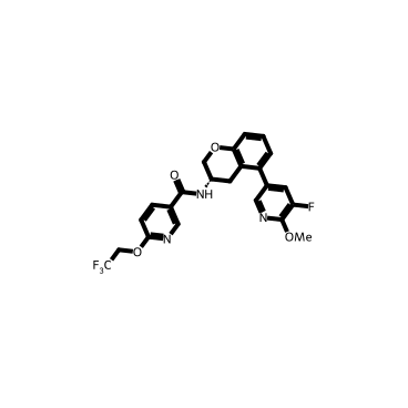 COc1ncc(-c2cccc3c2C[C@H](NC(=O)c2ccc(OCC(F)(F)F)nc2)CO3)cc1F